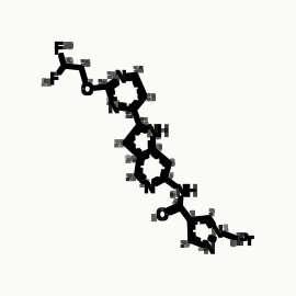 CC(C)n1cc(C(=O)Nc2cc3[nH]c(-c4ccnc(OCC(F)F)n4)cc3cn2)cn1